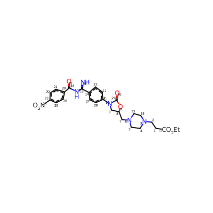 CCOC(=O)CCN1CCN(CC2CN(c3ccc(C(=N)NC(=O)c4ccc([N+](=O)[O-])cc4)cc3)C(=O)O2)CC1